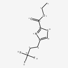 CCOC(=O)c1nc(CCC(F)(F)F)cs1